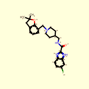 CC1(C)Cc2cccc(CN3CCC(CNC(=O)c4nc5ccc(F)cc5[nH]4)CC3)c2O1